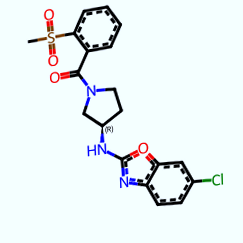 CS(=O)(=O)c1ccccc1C(=O)N1CC[C@@H](Nc2nc3ccc(Cl)cc3o2)C1